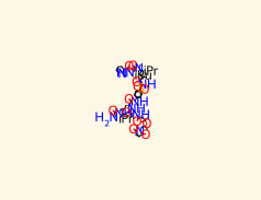 CC[C@H](C)C(NC(=O)[C@H]1CCCCN1C)C(=O)N(C)[C@H](/C=C(\C)C(=O)NS(=O)(=O)c1ccc(NC(=O)[C@H](CCCNC(N)=O)NC(=O)C(NC(=O)CC(C)(C)OC(C)CN2C(=O)C=CC2=O)C(C)C)cc1)C(C)C